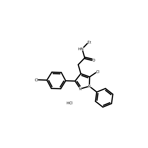 CCNC(=O)Cc1c(-c2ccc(Cl)cc2)nn(-c2ccccc2)c1Cl.Cl